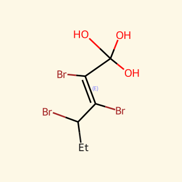 CCC(Br)/C(Br)=C(\Br)C(O)(O)O